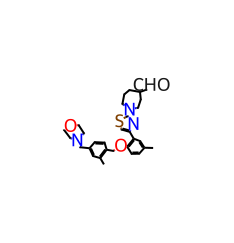 Cc1ccc(OCc2ccc(CN3CCOCC3)cc2C)c(-c2csc(N3CCCC(C)(C=O)CC3)n2)c1